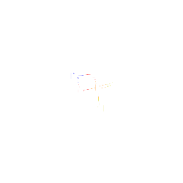 S=P1(S)ONO1